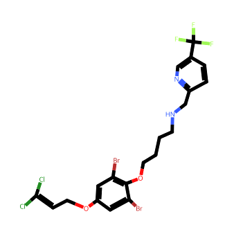 FC(F)(F)c1ccc(CNCCCCOc2c(Br)cc(OCC=C(Cl)Cl)cc2Br)nc1